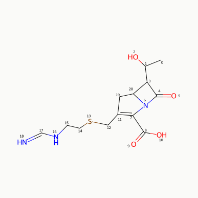 CC(O)C1C(=O)N2C(C(=O)O)=C(CSCCNC=N)CC12